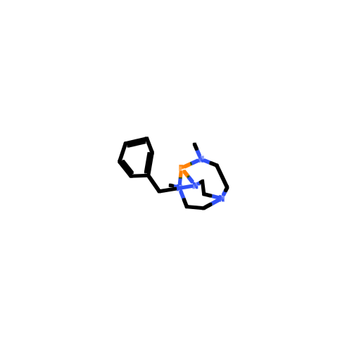 CN1CCN2CCN(C)P1N(Cc1ccccc1)CC2